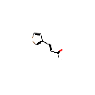 CC(C)C(=O)C=Cc1ccsc1